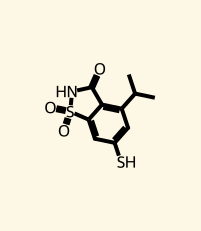 CC(C)c1cc(S)cc2c1C(=O)NS2(=O)=O